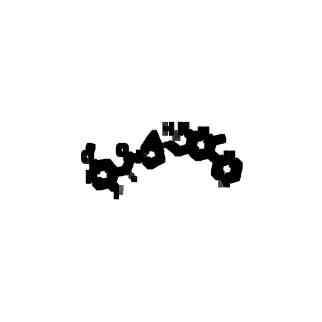 COc1cc([C@@H](C)C(=O)N2CC[C@]3(CCc4cc(-c5cnccn5)c(C)nc4N)CC23)c(F)cn1